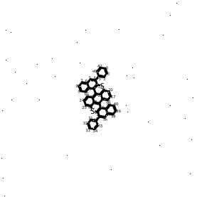 c1ccc(-c2cc3ccccc3c3c2sc2cccc4c2c3c2cccc3sc5c(-c6ccccc6)cc6ccccc6c5c4c32)cc1